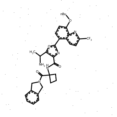 CCCCOc1ccc(-c2nc(C(=O)NC3(C(=O)N4Cc5ccccc5C4)CCC3)c(C(C)N)o2)c2ccc(C(F)(F)F)nc12